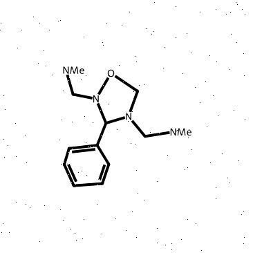 CNCN1CON(CNC)C1c1c[c]ccc1